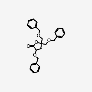 O=C1OC(COCc2ccccc2)(COCc2ccccc2)CC1OCc1ccccc1